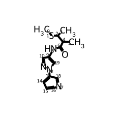 CSC(C)C(C)C(=O)Nc1cnn(-c2cccnc2)c1